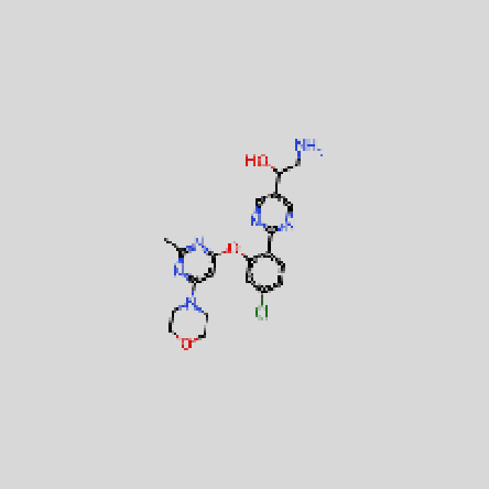 Cc1nc(Oc2cc(Cl)ccc2-c2ncc(C(O)CN)cn2)cc(N2CCOCC2)n1